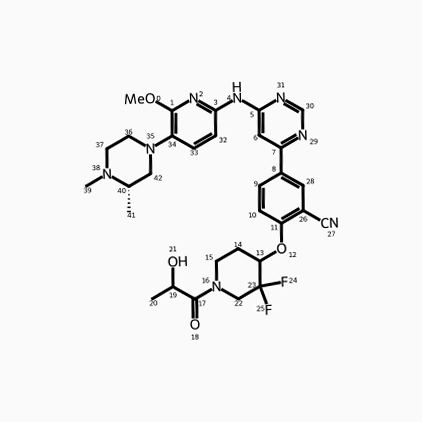 COc1nc(Nc2cc(-c3ccc(OC4CCN(C(=O)C(C)O)CC4(F)F)c(C#N)c3)ncn2)ccc1N1CCN(C)[C@@H](C)C1